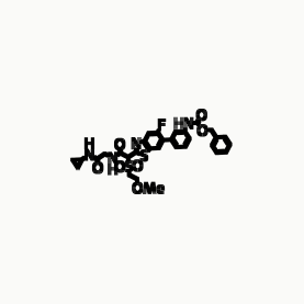 COCCS(=O)(=O)C(C(=O)NCC(=O)NC1CC1)c1nc2cc(F)c(-c3cccc(NC(=O)OCc4ccccc4)c3)cc2s1